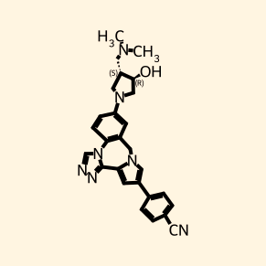 CN(C)C[C@H]1CN(c2ccc3c(c2)Cn2cc(-c4ccc(C#N)cc4)cc2-c2nncn2-3)C[C@@H]1O